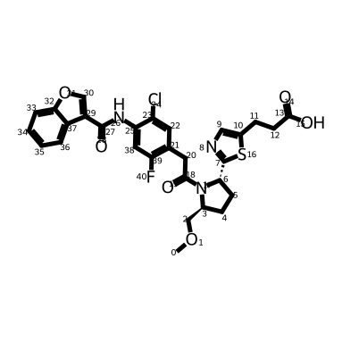 COC[C@@H]1CC[C@@H](c2ncc(CCC(=O)O)s2)N1C(=O)Cc1cc(Cl)c(NC(=O)c2coc3ccccc23)cc1F